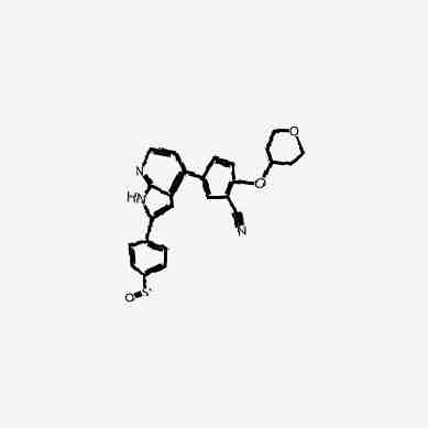 N#Cc1cc(-c2ccnc3[nH]c(-c4ccc([S+]=O)cc4)cc23)ccc1OC1CCOCC1